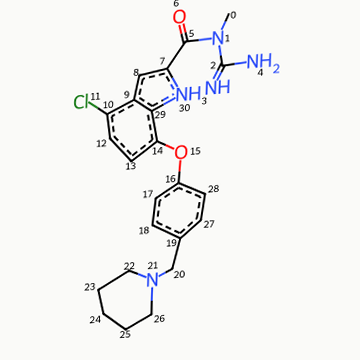 CN(C(=N)N)C(=O)c1cc2c(Cl)ccc(Oc3ccc(CN4CCCCC4)cc3)c2[nH]1